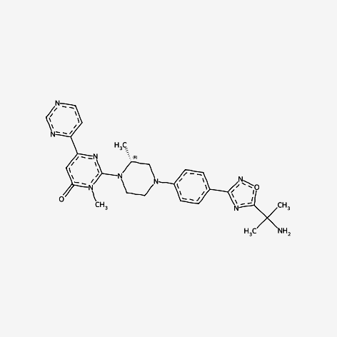 C[C@@H]1CN(c2ccc(-c3noc(C(C)(C)N)n3)cc2)CCN1c1nc(-c2ccncn2)cc(=O)n1C